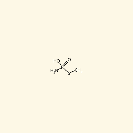 CSP(N)(=O)O